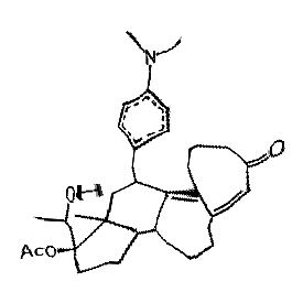 CC(=O)O[C@]1(C(C)O)CCC2C3CCC4=CC(=O)CCC4=C3C(c3ccc(N(C)C)cc3)CC21C